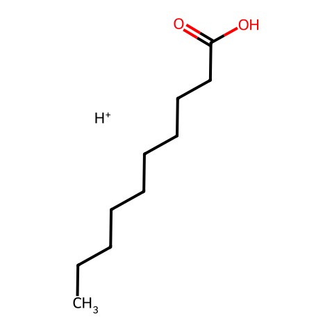 CCCCCCCCCC(=O)O.[H+]